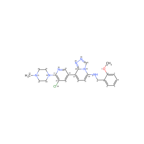 COc1ccccc1CNc1ccc(-c2cnc(N3CCN(C)CC3)c(Cl)c2)c2nncn12